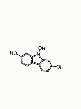 Oc1ccc2c3ccc(O)cc3n(O)c2c1